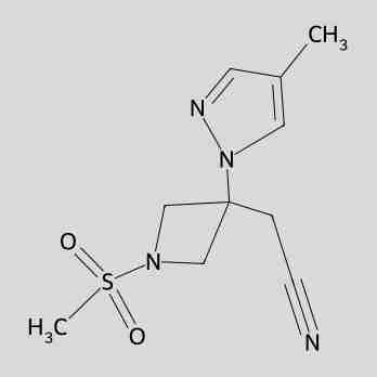 Cc1cnn(C2(CC#N)CN(S(C)(=O)=O)C2)c1